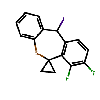 Fc1ccc2c(c1F)C1(CC1)Sc1ccccc1C2I